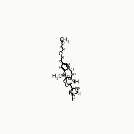 COCCOCCc1cc2n(n1)CC[C@@H](NC(=O)c1nc[nH]n1)C(=O)N2C